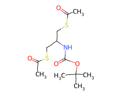 CC(=O)SCC(CSC(C)=O)NC(=O)OC(C)(C)C